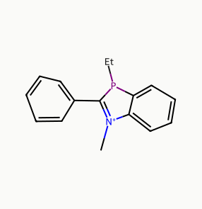 CCp1c(-c2ccccc2)[n+](C)c2ccccc21